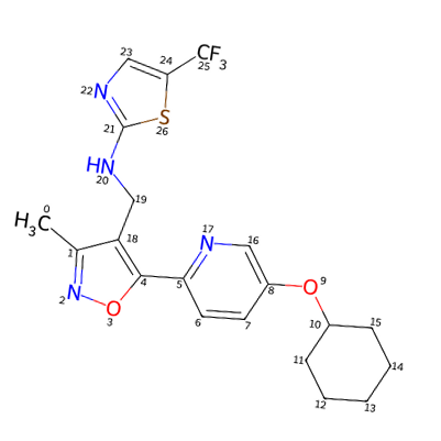 Cc1noc(-c2ccc(OC3CCCCC3)cn2)c1CNc1ncc(C(F)(F)F)s1